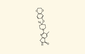 [2H]C1(Oc2ccc3c(c2)OCCO3)CCN(c2nc3c(cc2C)C(=O)NC3)CC1